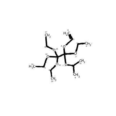 [CH2]COC(OC=C)(OC(C)C)C(OCC)(OCC)OCC